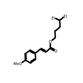 CCC(CC)CCCOC(=O)C=Cc1ccc(OC)cc1